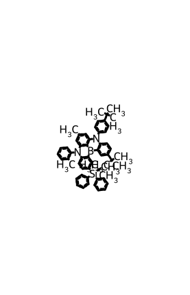 Cc1cc2c3c(c1)N(c1ccccc1C)c1ccc([Si](c4ccccc4)(c4ccccc4)C(C)(C)C)cc1B3c1cc(C(C)(C)C)ccc1N2c1ccc(C(C)(C)C)cc1